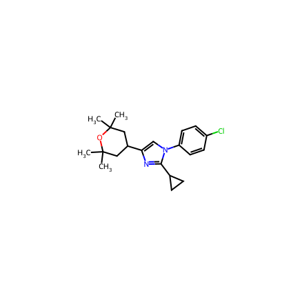 CC1(C)CC(c2cn(-c3ccc(Cl)cc3)c(C3CC3)n2)CC(C)(C)O1